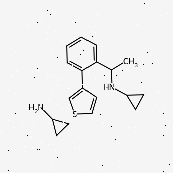 CC(NC1CC1)c1ccccc1-c1ccsc1.NC1CC1